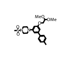 COC(COc1cc(-c2ccc(C)cc2)cc(N2CCN(S(C)(=O)=O)CC2)c1)OC